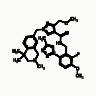 COCc1nn(Cc2ccc3c(c2)CN(C)CC3(C)C)cc1C(=O)NCc1c(-n2cc(C)nn2)ccc(OC)c1F